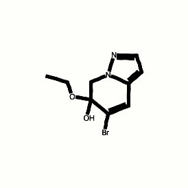 CCOC1(O)Cn2nccc2C=C1Br